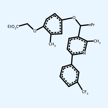 CCCC(Oc1ccc(OCC(=O)OCC)c(C)c1)c1ccc(-c2cccc(C(F)(F)F)c2)nc1C